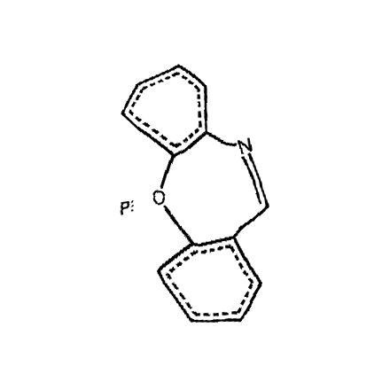 C1=Nc2ccccc2Oc2ccccc21.[P]